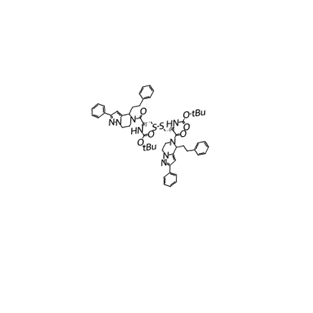 CC(C)(C)OC(=O)N[C@@H](CSSC[C@H](NC(=O)OC(C)(C)C)C(=O)N1CCn2nc(-c3ccccc3)cc2C1CCc1ccccc1)C(=O)N1CCn2nc(-c3ccccc3)cc2C1CCc1ccccc1